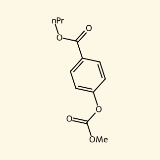 CCCOC(=O)c1ccc(OC(=O)OC)cc1